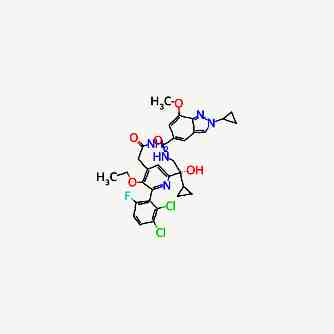 CCOc1c(CC(N)=O)cc([C@@](O)(CNC(=O)c2cc(OC)c3nn(C4CC4)cc3c2)C2CC2)nc1-c1c(F)ccc(Cl)c1Cl